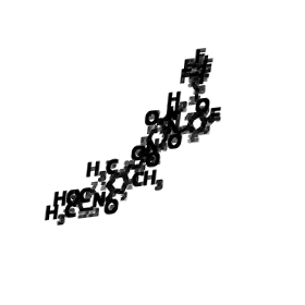 Cc1cc(C(=O)N2CCC(C)(O)CC2)cc(C)c1/C=C/S(=O)(=O)N1CCC(NC(=O)c2ccc(F)c(OCCCC(F)(F)C(F)(F)F)c2)(C(N)=O)CC1